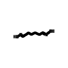 ON=CCCCCC=NO